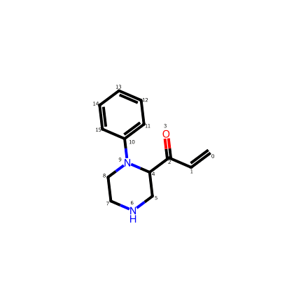 C=CC(=O)C1CNCCN1c1ccccc1